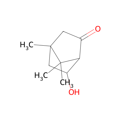 CC12CC(=O)C(C(O)C1)C2(C)C